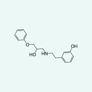 Oc1cccc(CCNCC(O)COc2ccccc2)c1